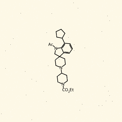 CCOC(=O)N1CCC(N2CCC3(CC2)CN(C(C)=O)c2c(C4CCCC4)cccc23)CC1